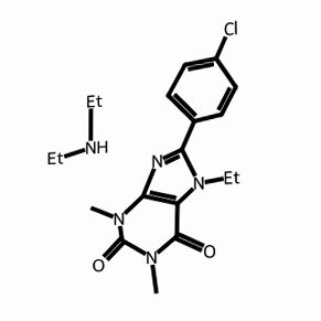 CCNCC.CCn1c(-c2ccc(Cl)cc2)nc2c1c(=O)n(C)c(=O)n2C